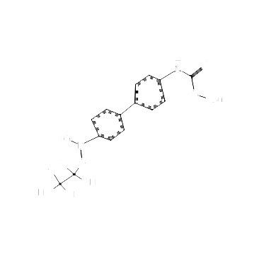 CC(C)(C)OC(=O)Nc1ccc(-c2ccc(B(O)OC(C)(C)C(C)(C)O)cc2)cc1